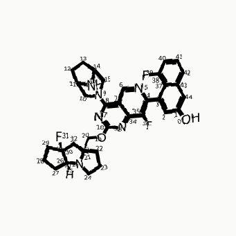 Oc1cc(-c2ncc3c(N4CC5CCC(C4)N5)nc(OC[C@@]45CCCN4[C@@H]4CCC[C@]4(F)C5)nc3c2F)c2c(F)cccc2c1